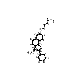 CCCCSc1ccc2c(ccc3c2nc(-c2ccccc2)n3C)c1